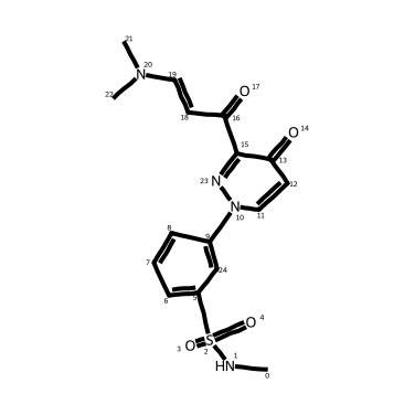 CNS(=O)(=O)c1cccc(-n2ccc(=O)c(C(=O)C=CN(C)C)n2)c1